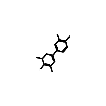 CC1=C(I)C(C)CC(c2ccc(I)c(C)c2)=C1